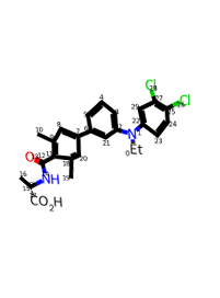 CCN(c1cccc(-c2cc(C)c(C(=O)N[C@@H](C)C(=O)O)c(C)c2)c1)c1ccc(Cl)c(Cl)c1